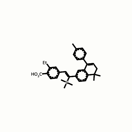 CCc1cc(C=C(c2ccc3c(c2)C(c2ccc(C)cc2)=CCC3(C)C)[Si](C)(C)C)ccc1C(=O)O